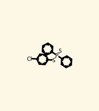 S=P(Sc1ccc(Cl)cc1)(c1ccccc1)c1ccccc1